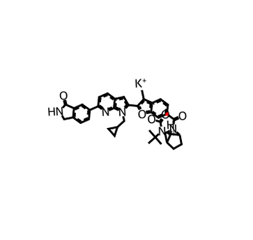 Cc1c(-c2cc3ccc(-c4ccc5c(c4)C(=O)NC5)nc3n2CC2CC2)oc2cc(C(=O)N3CC4CCC3[C@@H]4N(C(=O)[O-])C(C)(C)C)ccc12.[K+]